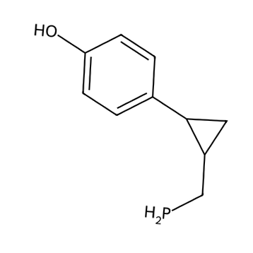 Oc1ccc(C2CC2CP)cc1